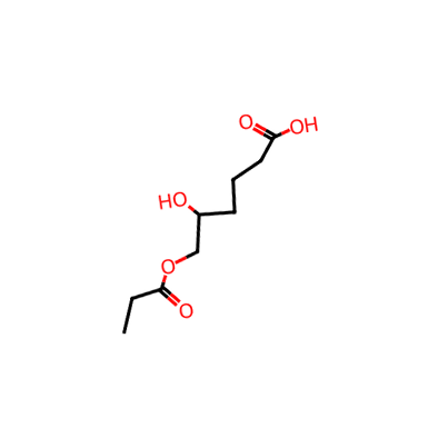 CCC(=O)OCC(O)CCCC(=O)O